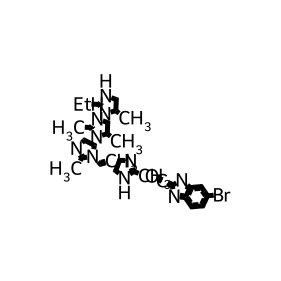 C=CN1CCN=C1C.CC1=NC(C)CN1.CC1=NCCN1.CCC1=NC(C)CN1.O=C=C1N=c2ccc(Br)cc2=N1